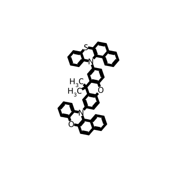 CC1(C)c2cc(N3c4ccccc4Oc4ccc5ccccc5c43)ccc2Oc2ccc(N3c4ccccc4Sc4ccc5ccccc5c43)cc21